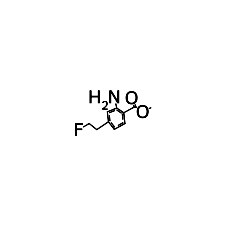 COC(=O)c1ccc(CCF)cc1N